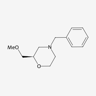 COC[C@H]1CN(Cc2ccccc2)CCO1